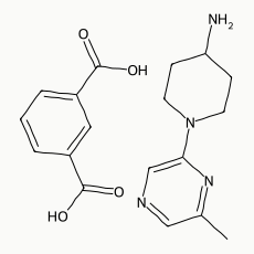 Cc1cncc(N2CCC(N)CC2)n1.O=C(O)c1cccc(C(=O)O)c1